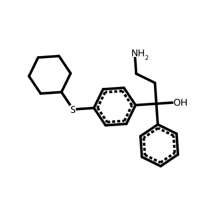 NCCC(O)(c1ccccc1)c1ccc(SC2CCCCC2)cc1